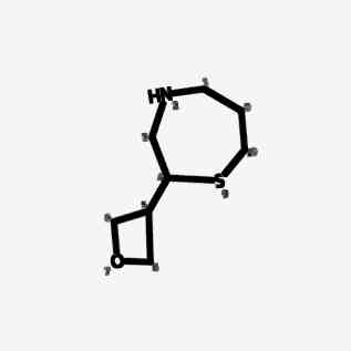 C1CNCC(C2COC2)SC1